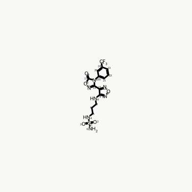 NS(=O)(=O)NCCCNc1nonc1-c1noc(=O)n1-c1cccc(C(F)(F)F)c1